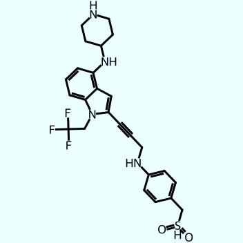 O=[SH](=O)Cc1ccc(NCC#Cc2cc3c(NC4CCNCC4)cccc3n2CC(F)(F)F)cc1